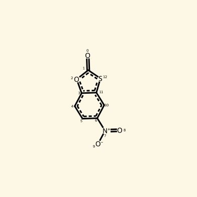 O=c1oc2ccc([N+](=O)[O-])cc2s1